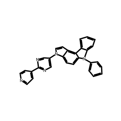 c1ccc(-n2c3ccccc3c3c4ccn(-c5cnc(-c6ccncc6)nc5)c4ccc32)cc1